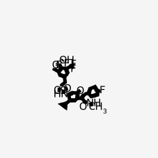 CNC(=O)c1c(-c2ccc(F)cc2)oc2cc(NS(=O)(=O)CCc3cc4c(c(C(F)(F)F)c3)B(O)OC4)c(C3CC3)cc12